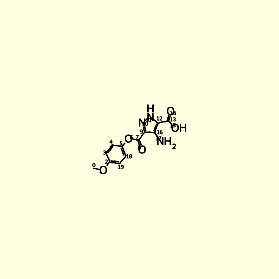 COc1ccc(OC(=O)c2n[nH]c(C(=O)O)c2N)cc1